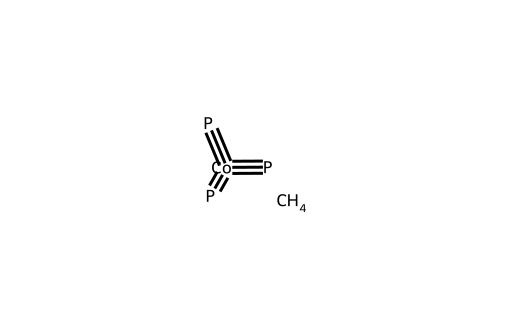 C.[P]#[Co](#[P])#[P]